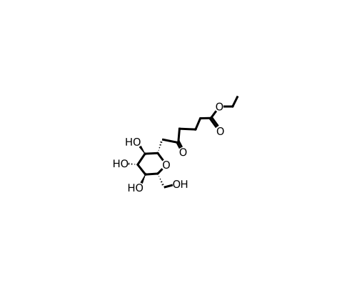 CCOC(=O)CCCC(=O)C[C@@H]1O[C@H](CO)[C@@H](O)[C@H](O)[C@H]1O